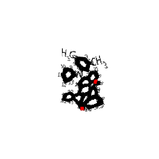 Cc1cc(C)cc(N(c2ccccc2)c2cc3c(c4ccccc24)C2(c4ccccc4-c4ccccc42)c2c-3c3ccccc3c3ccccc23)c1